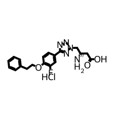 Cl.N[C@@H](CC(=O)O)Cn1nnc(-c2ccc(OCCc3ccccc3)c(F)c2)n1